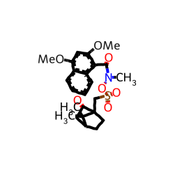 COc1cc(OC)c2ccccc2c1C(=O)N(C)OS(=O)(=O)CC12CCC(CC1=O)C2(C)C